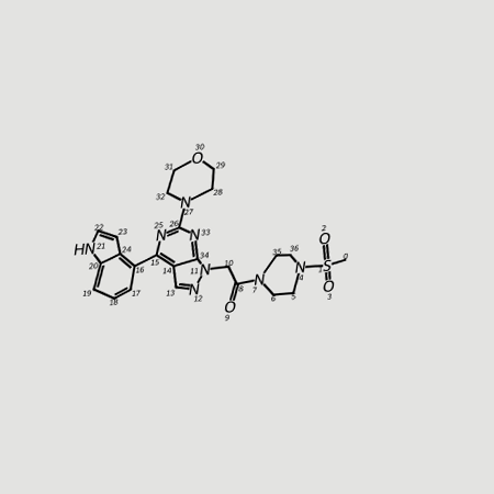 CS(=O)(=O)N1CCN(C(=O)Cn2ncc3c(-c4cccc5[nH]ccc45)nc(N4CCOCC4)nc32)CC1